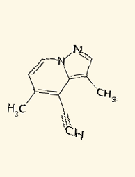 C#Cc1c(C)ccn2ncc(C)c12